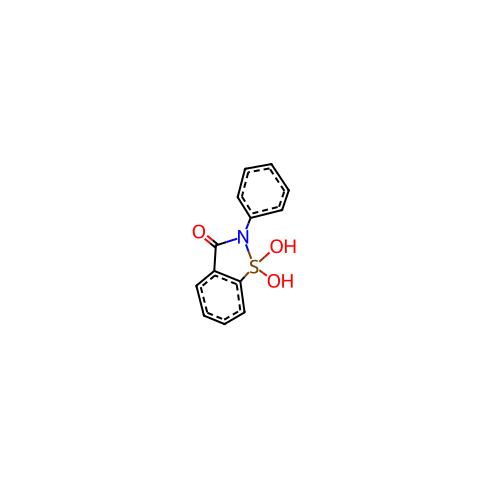 O=C1c2ccccc2S(O)(O)N1c1ccccc1